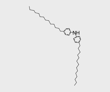 CCCCCCCCCCCCCCc1ccc(Nc2ccc(CCCCCCCCCCCCCC)cc2)cc1